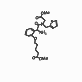 COC(=O)CCCCOc1ccccc1C(N)C(=O)N(CC(=O)OC)Cc1cccs1